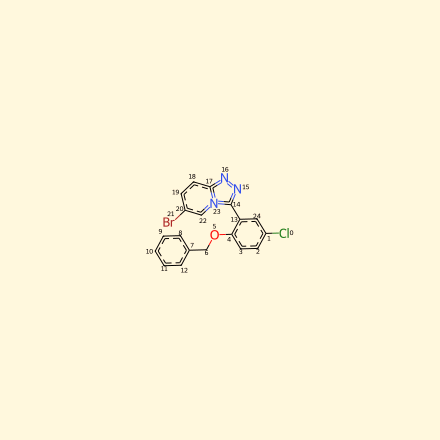 Clc1ccc(OCc2ccccc2)c(-c2nnc3ccc(Br)cn23)c1